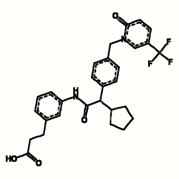 O=C(O)CCc1cccc(NC(=O)C(c2ccc(Cn3cc(C(F)(F)F)ccc3=O)cc2)C2CCCC2)c1